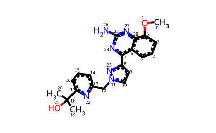 COc1cccc2c(-c3ccn(Cc4cccc(C(C)(C)O)n4)n3)nc(N)nc12